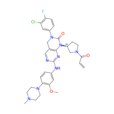 C=CC(=O)N1CC[C@H](N2C(=O)N(c3ccc(F)c(Cl)c3)Cc3cnc(Nc4ccc(N5CCN(C)CC5)c(OC)c4)nc32)C1